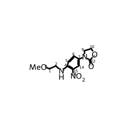 COCCNc1ccc(N2CCOC2=O)cc1[N+](=O)[O-]